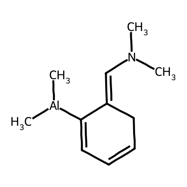 CN(C)C=C1CC=CC=[C]1[Al]([CH3])[CH3]